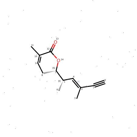 C#C/C(C)=C/[C@H](C)[C@@H]1CC=C(C)C(=O)O1